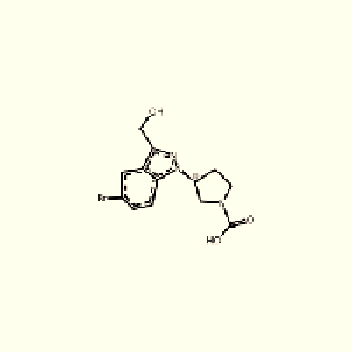 O=C(O)N1CC[C@H](n2nc(CO)c3cc(Br)ccc32)C1